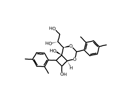 Cc1ccc(C2O[C@H]([C@H](O)CO)[C@@]3(O)C(c4ccc(C)cc4C)C(O)[C@@H]3O2)c(C)c1